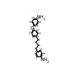 Nc1ccc(CCCCc2ccc(Oc3ccc(N)cc3)cc2)cc1